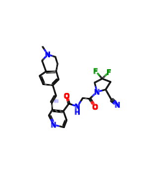 CN1CCc2cc(/C=C/c3cnccc3C(=O)NCC(=O)N3CC(F)(F)CC3C#N)ccc2C1